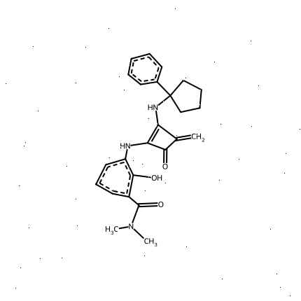 C=C1C(=O)C(Nc2cccc(C(=O)N(C)C)c2O)=C1NC1(c2ccccc2)CCCC1